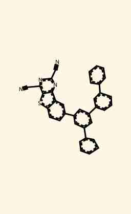 N#Cc1nc(C#N)c2sc3ccc(-c4cc(-c5ccccc5)cc(-c5cccc(-c6ccccc6)c5)c4)cc3c2n1